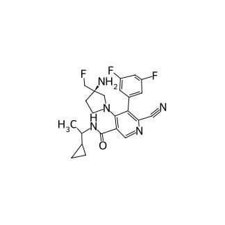 CC(NC(=O)c1cnc(C#N)c(-c2cc(F)cc(F)c2)c1N1CC[C@](N)(CF)C1)C1CC1